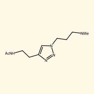 CNCCCn1cc(CCNC(C)=O)nn1